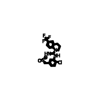 N=C(Nc1cc(C=S(=O)=O)ccc1Cl)N1CCCc2cc(C(F)(F)F)ccc21